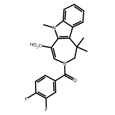 Cn1c2c(c3ccccc31)C(C)(C)CN(C(=O)c1ccc(F)c(F)c1)C=C2C(=O)O